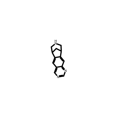 c1ncc2cc3c(cc2n1)C1CNCC3C1